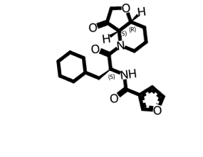 O=C(N[C@@H](CC1CCCCC1)C(=O)N1CCC[C@H]2OCC(=O)[C@H]21)c1ccoc1